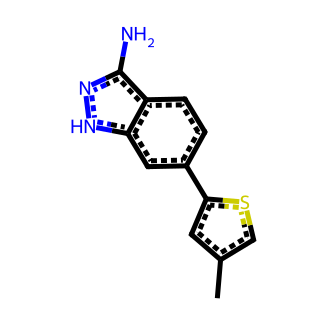 Cc1csc(-c2ccc3c(N)n[nH]c3c2)c1